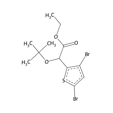 CCOC(=O)C(OC(C)(C)C)c1sc(Br)cc1Br